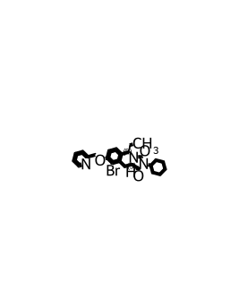 CC[C@@H]1c2ccc(OCc3ccccn3)c(Br)c2C[C@H]2C(=O)N(C3CCCCC3)C(=O)N12